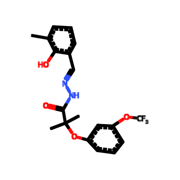 Cc1cccc(C=NNC(=O)C(C)(C)Oc2cccc(OC(F)(F)F)c2)c1O